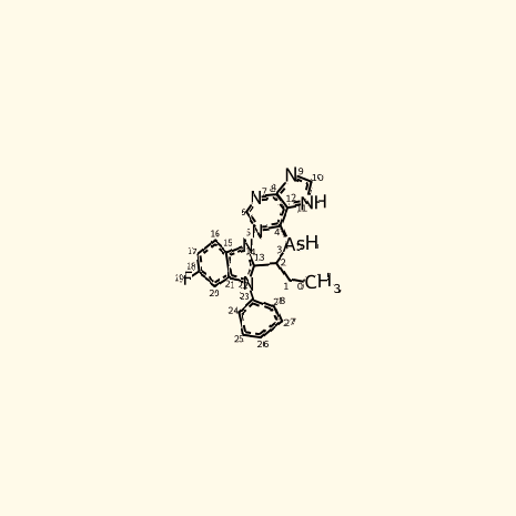 CCC([AsH]c1ncnc2nc[nH]c12)c1nc2ccc(F)cc2n1-c1ccccc1